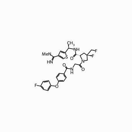 CNC(=N)c1csc([C@@H](C)NC(=O)[C@@H]2C[C@](F)(CF)CN2C(=O)CNC(=O)c2ccc(Oc3ccc(F)cc3)cc2)c1